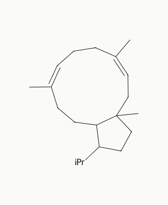 C/C1=C/CC2(C)CCC(C(C)C)C2CC/C(C)=C\CC1